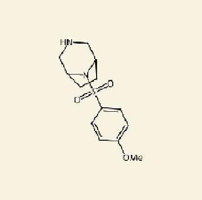 COc1ccc(S(=O)(=O)N2C3CCC2CNC3)cc1